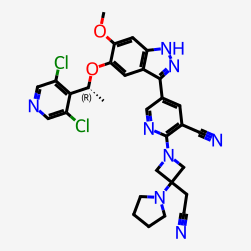 COc1cc2[nH]nc(-c3cnc(N4CC(CC#N)(N5CCCC5)C4)c(C#N)c3)c2cc1O[C@H](C)c1c(Cl)cncc1Cl